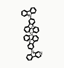 c1ccc([Si](c2ccccc2)(c2cccc3c2oc2ccc(-n4c5ccccc5c5ccccc54)cc23)c2cccc3c2sc2ccc(-n4c5ccccc5c5ccncc54)cc23)cc1